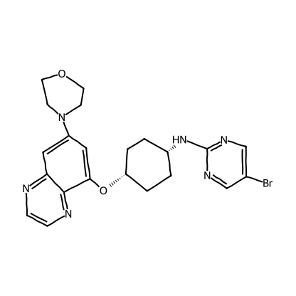 Brc1cnc(N[C@H]2CC[C@@H](Oc3cc(N4CCOCC4)cc4nccnc34)CC2)nc1